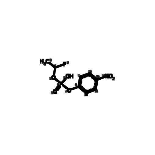 CC(F)OP(=O)(O)Oc1ccc([N+](=O)[O-])cc1